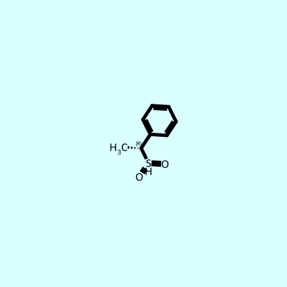 C[C@H](c1ccccc1)[SH](=O)=O